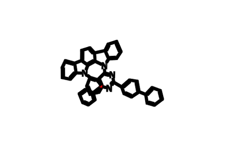 c1ccc(-c2ccc(-c3nc(-c4ccccc4)cc(-n4c5ccccc5c5ccc6c7ccccc7n(-c7ccccc7)c6c54)n3)cc2)cc1